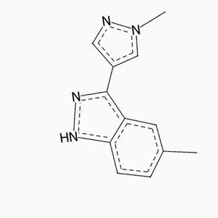 Cc1ccc2[nH]nc(-c3cnn(C)c3)c2c1